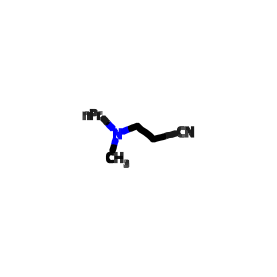 [CH2]CCN(C)CCC#N